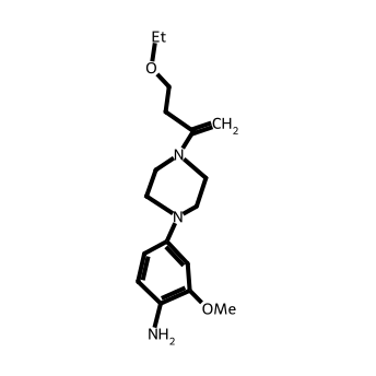 C=C(CCOCC)N1CCN(c2ccc(N)c(OC)c2)CC1